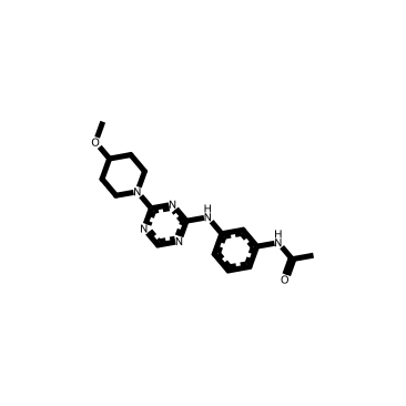 COC1CCN(c2ncnc(Nc3cccc(NC(C)=O)c3)n2)CC1